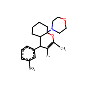 CC(=O)C1=C(C)OC2(N3CCOCC3)CCCCC2C1c1cccc([N+](=O)[O-])c1